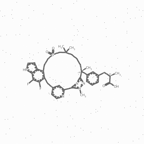 C[C@H](Cc1cccc([C@@]2(C)CCCC(C)(C)CS(=O)(=O)CCc3c(c(F)c(F)c4[nH]ccc34)Cc3ccnc(c3)-c3nc2nn3C)c1)C(=O)O